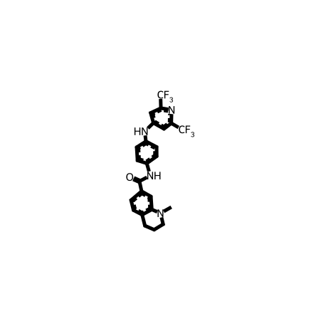 CN1CCCc2ccc(C(=O)Nc3ccc(Nc4cc(C(F)(F)F)nc(C(F)(F)F)c4)cc3)cc21